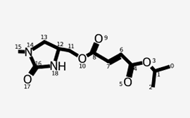 CC(C)OC(=O)/C=C/C(=O)OCC1CN(C)C(=O)N1